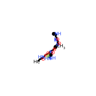 C#CCCCC(=O)NCCOCCOCCN(CCCOc1ccc(CN(C)C(=O)CCc2nnc(CCc3c[nH]c4ccccc34)o2)cc1)C(=O)c1ccc(C2(C(F)(F)F)NN2)cc1